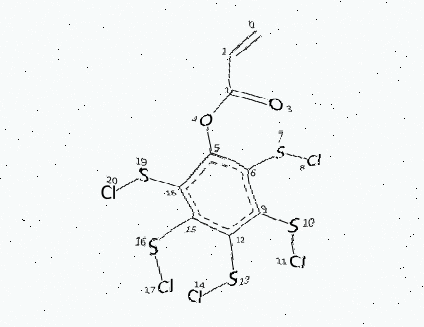 C=CC(=O)Oc1c(SCl)c(SCl)c(SCl)c(SCl)c1SCl